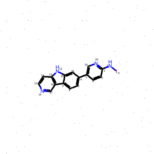 INc1ccc(-c2ccc3c(c2)[nH]c2ccncc23)cn1